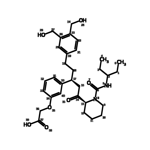 CCC(CC)NC(=O)N1CCCC[C@H]1C(=O)C[C@H](CCc1ccc(CO)c(CO)c1)c1cccc(OCC(=O)O)c1